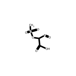 CS(=O)(=O)OC(P=O)C(=O)O